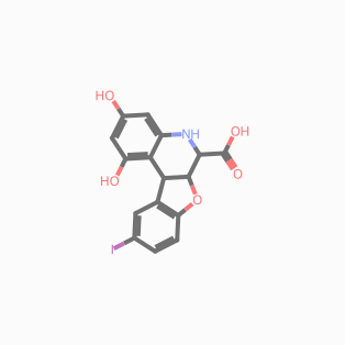 O=C(O)C1Nc2cc(O)cc(O)c2C2c3cc(I)ccc3OC12